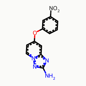 Nc1nc2cc(Oc3cccc([N+](=O)[O-])c3)ccn2n1